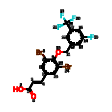 O=C(O)C=Cc1cc(Br)c(OCc2cc(F)cc(C(F)(F)F)c2)c(Br)c1